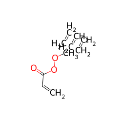 C=C.C=C.C=C.C=CC(=O)OOC